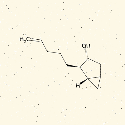 C=CCCC[C@H]1[C@H](O)CC2C[C@@H]21